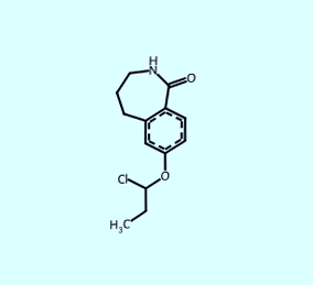 CCC(Cl)Oc1ccc2c(c1)CCCNC2=O